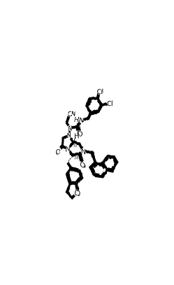 N#CCN(C(=O)NCC1=CC(Cl)C(Cl)C=C1)N1CC(=O)N2[C@@H](CC3=CCC4OCCC4=C3)C(=O)N(Cc3cccc4ccccc34)C[C@@H]21